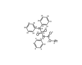 CC(C)OC(=O)N(c1ccccc1)S(=O)(=O)N(c1ccccc1)c1ccccc1